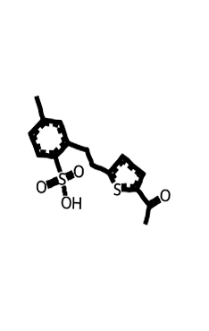 CC(=O)c1ccc(CCc2cc(C)ccc2S(=O)(=O)O)s1